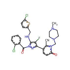 CN1CCN(Cn2c(C#N)c(-c3nn(C(=O)c4ccccc4Cl)c(NCc4ccc(Cl)s4)c3F)ccc2=O)CC1